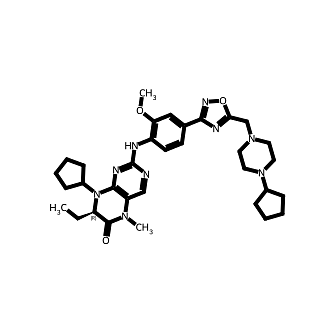 CC[C@@H]1C(=O)N(C)c2cnc(Nc3ccc(-c4noc(CN5CCN(C6CCCC6)CC5)n4)cc3OC)nc2N1C1CCCC1